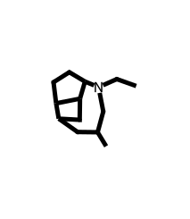 CCN1CC(C)CC2CC3C2CCC31